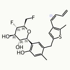 C=C/C=C\c1cc(Cc2cc([C@@H]3O[C@H](CF)[C@@H](F)[C@H](O)[C@H]3O)c(O)cc2C)sc1C